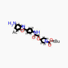 CC(=O)c1cc(N)cc2nc(-c3ccc(NC(=O)COC4CCN(C(=O)OC(C)(C)C)CC4)cc3)oc12